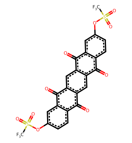 O=c1c2ccc(OS(=O)(=O)C(F)(F)F)cc2c(=O)c2cc3c(=O)c4cc(OS(=O)(=O)C(F)(F)F)ccc4c(=O)c3cc12